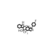 Cc1[nH]c2ccccc2c1C(O)(c1ccc2c(cnn2-c2ccc(F)cc2)c1)C(F)(F)F